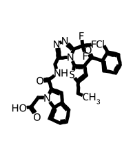 CCc1cc(C(=O)c2ccccc2Cl)c(-n2c(CNC(=O)c3cc4ccccc4n3CC(=O)O)nnc2C(F)(F)F)s1